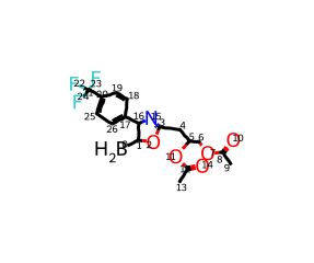 BC1OC(CC(COC(C)=O)OC(C)=O)=NC1c1ccc(C(F)(F)F)cc1